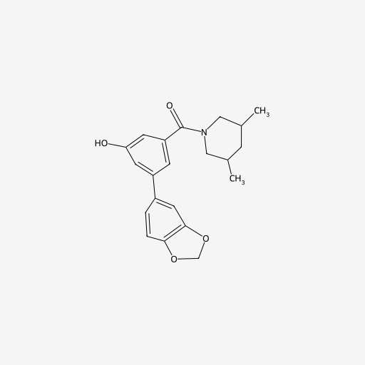 CC1CC(C)CN(C(=O)c2cc(O)cc(-c3ccc4c(c3)OCO4)c2)C1